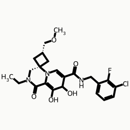 CCN1C[C@]2(C[C@@H](COC)C2)N2C=C(C(=O)NCc3cccc(Cl)c3F)C(O)C(O)=C2C1=O